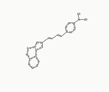 CCN(CC)c1ccc(C=CC=Cc2cc3snc4ccccc4c-3c2)cc1